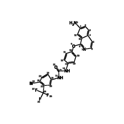 Nc1ccc2ccnc(Oc3ccc(NC(=O)Nc4ccc(Br)c(C(F)(F)F)c4)cc3)c2c1